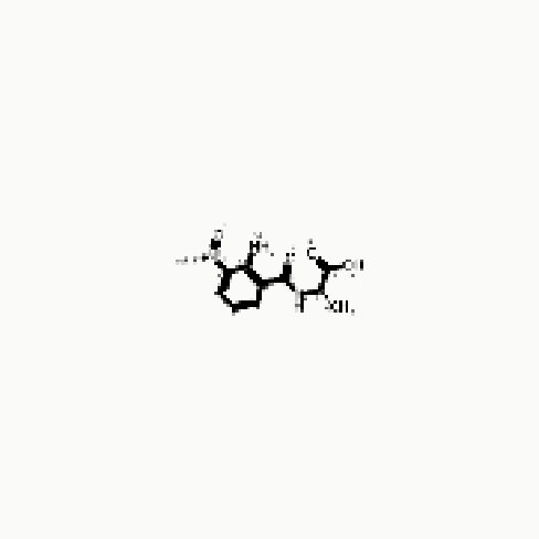 C[C@H](NC(=O)c1cccc([N+](=O)[O-])c1N)C(=O)O